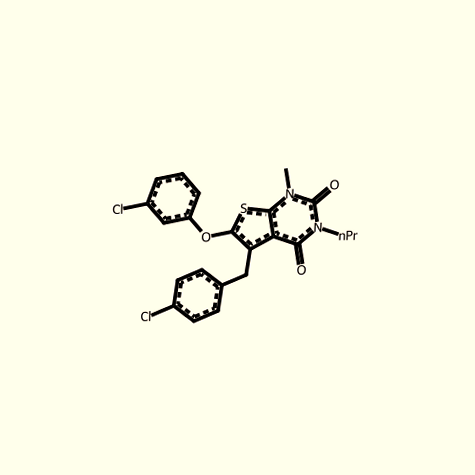 [CH2]CCn1c(=O)c2c(Cc3ccc(Cl)cc3)c(Oc3cccc(Cl)c3)sc2n(C)c1=O